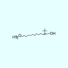 C[SiH](C)OCCCCCCCCCCC[C@H](CCO)C(C)(C)C